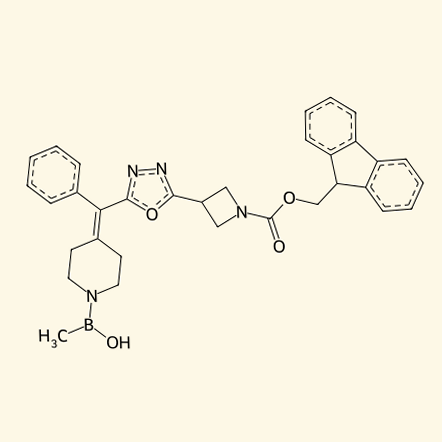 CB(O)N1CCC(=C(c2ccccc2)c2nnc(C3CN(C(=O)OCC4c5ccccc5-c5ccccc54)C3)o2)CC1